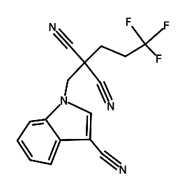 N#Cc1cn(CC(C#N)(C#N)CCC(F)(F)F)c2ccccc12